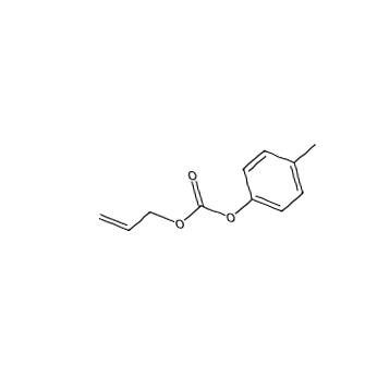 C=CCOC(=O)Oc1ccc(C)cc1